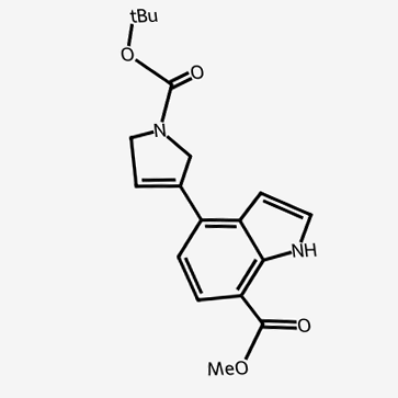 COC(=O)c1ccc(C2=CCN(C(=O)OC(C)(C)C)C2)c2cc[nH]c12